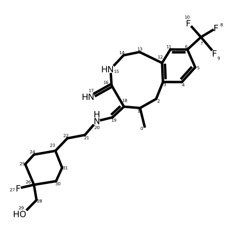 CC1Cc2ccc(C(F)(F)F)cc2CCNC(=N)/C1=C\NCCC1CCC(F)(CO)CC1